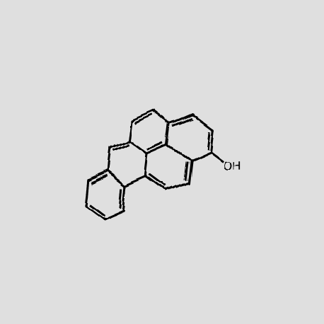 Oc1ccc2ccc3cc4ccccc4c4ccc1c2c34